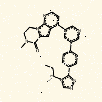 CC[C@@H](C)n1cnnc1-c1ccc(-c2cncc(-c3ccnc4c3cc3n4CCN(C)C3=O)c2)cc1